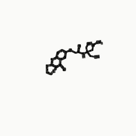 COCC(CO)(CO)NC(=O)COc1ccc2sc3ccccc3c(=O)c2c1